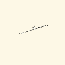 [CH2]CCCCCCC=CCCCC(CCCCCCCCCCCC[CH2])C(C)CC